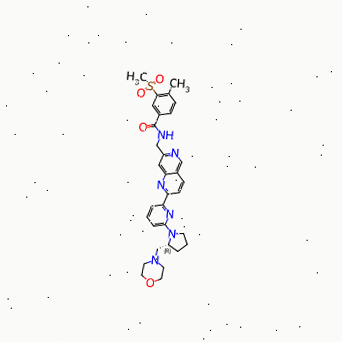 Cc1ccc(C(=O)NCc2cc3nc(-c4cccc(N5CCC[C@@H]5CN5CCOCC5)n4)ccc3cn2)cc1S(C)(=O)=O